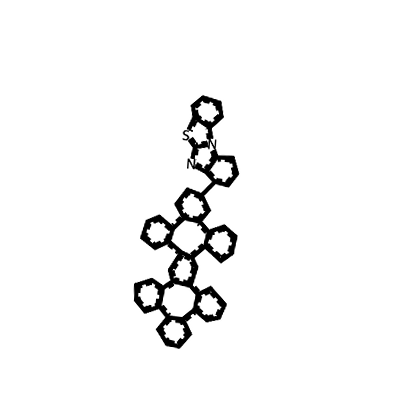 c1ccc2c(c1)sc1nc3c(-c4ccc5c6ccccc6c6cc7c8ccccc8c8ccccc8c8ccccc8c7cc6c6ccccc6c5c4)cccc3n12